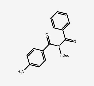 CCCCCCCCCCN(C(=O)c1ccccc1)C(=O)c1ccc(N)cc1